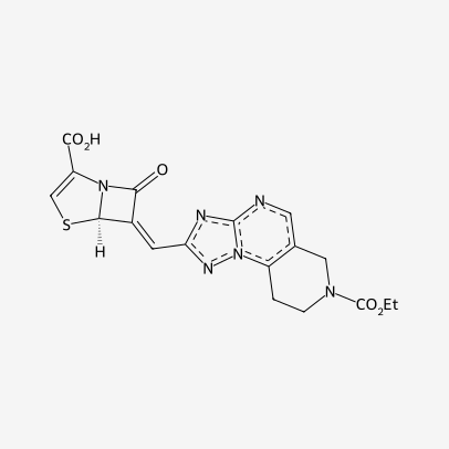 CCOC(=O)N1CCc2c(cnc3nc(C=C4C(=O)N5C(C(=O)O)=CS[C@H]45)nn23)C1